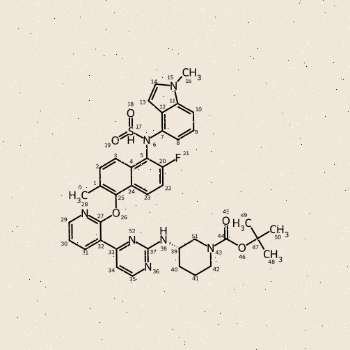 Cc1ccc2c(N(c3cccc4c3ccn4C)[SH](=O)=O)c(F)ccc2c1Oc1ncccc1-c1ccnc(N[C@H]2CCCN(C(=O)OC(C)(C)C)C2)n1